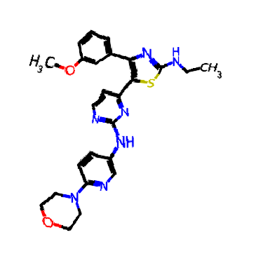 CCNc1nc(-c2cccc(OC)c2)c(-c2ccnc(Nc3ccc(N4CCOCC4)nc3)n2)s1